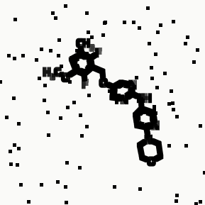 COc1cc(C)c(F)c(COc2cnc(Nc3ccc(N4CCOCC4)nc3)nc2)c1F